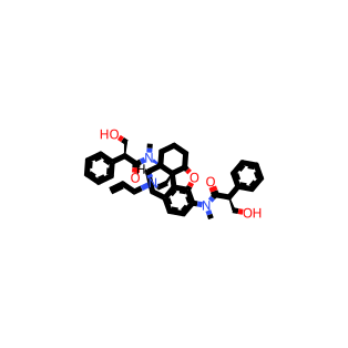 C=CCN1CC[C@]23c4c5ccc(N(C)C(=O)[C@H](CO)c6ccccc6)c4OC2CCC[C@@]3(N(C)C(=O)[C@H](CO)c2ccccc2)[C@H]1C5